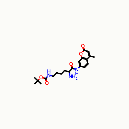 Cc1cc(=O)oc2cc(NC(=O)C(N)CCCCNC(=O)OC(C)(C)C)ccc12